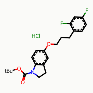 CC(C)(C)OC(=O)N1CCc2cc(OCCCc3ccc(F)cc3F)ccc21.Cl